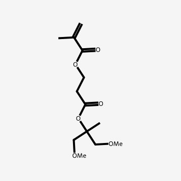 C=C(C)C(=O)OCCC(=O)OC(C)(COC)COC